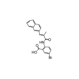 C/C(=C\c1ccc2ccccc2c1)C(=O)Nc1ccc(Br)cc1C(=O)O